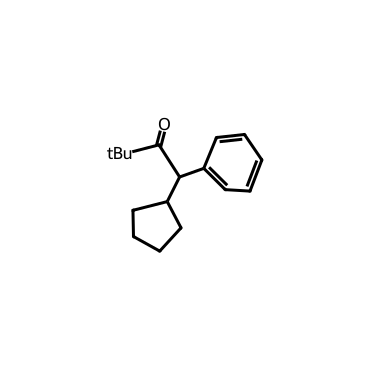 CC(C)(C)C(=O)C(c1ccccc1)C1CCCC1